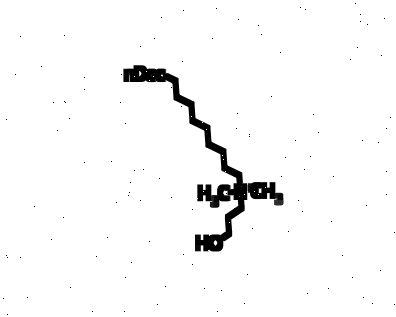 CCCCCCCCCCCCCCCCCCC[N+](C)(C)CCCO